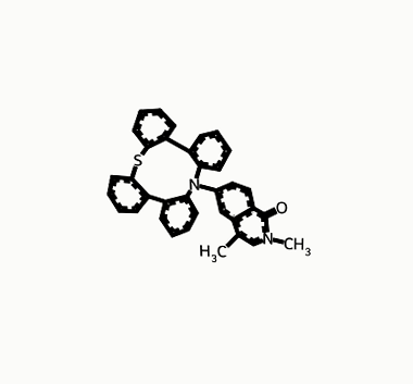 Cc1cn(C)c(=O)c2ccc(N3c4ccccc4-c4ccccc4Sc4ccccc4-c4ccccc43)cc12